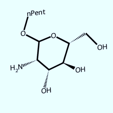 CCCCCOC1O[C@H](CO)[C@@H](O)[C@H](O)[C@@H]1N